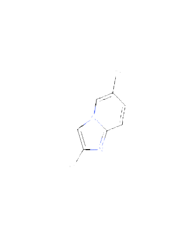 CCc1ccc2nc(CC)cn2c1